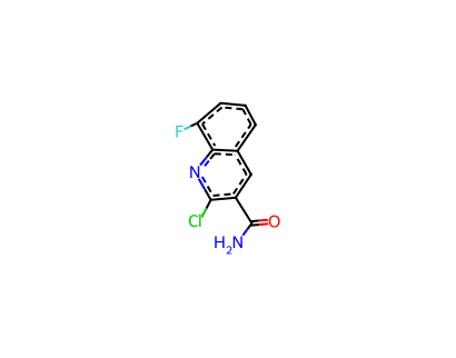 NC(=O)c1cc2cccc(F)c2nc1Cl